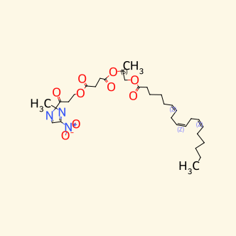 CCCCC/C=C\C/C=C\C/C=C\CCCCC(=O)OC[C@H](C)OC(=O)CCC(=O)OCCC(=O)C1(C)N=CC([N+](=O)[O-])=N1